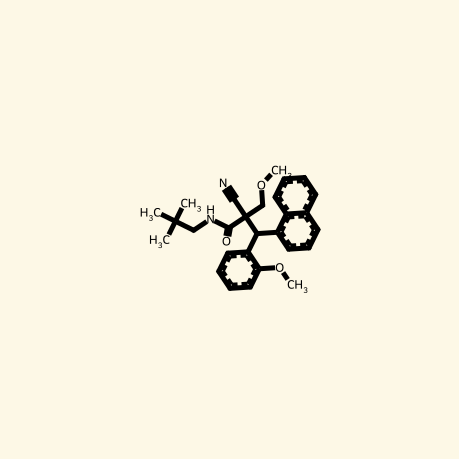 COCC(C#N)(C(=O)NCC(C)(C)C)C(c1ccccc1OC)c1cccc2ccccc12